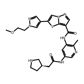 COCCn1cc(-c2cn3ncc(C(=O)Nc4cc(NC(=O)C[C@H]5CCNC5)cnc4C)c3s2)cn1